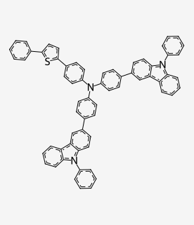 c1ccc(-c2ccc(-c3ccc(N(c4ccc(-c5ccc6c(c5)c5ccccc5n6-c5ccccc5)cc4)c4ccc(-c5ccc6c(c5)c5ccccc5n6-c5ccccc5)cc4)cc3)s2)cc1